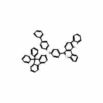 c1ccc(-c2ccc(N(c3ccc(-c4nc5ccccc5c5c4ccc4c6ccccc6oc45)cc3)c3ccc4c(c3)C(c3ccccc3)(c3ccccc3)c3ccccc3-4)cc2)cc1